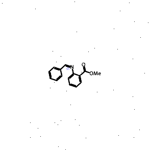 COC(=O)c1ccccc1/N=C\c1ccccc1